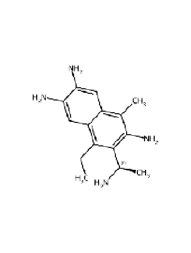 CCc1c([C@@H](C)N)c(N)c(C)c2cc(N)c(N)cc12